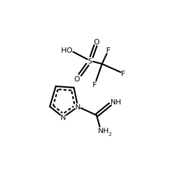 N=C(N)n1cccn1.O=S(=O)(O)C(F)(F)F